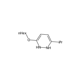 CCCCCCOC1=CC=C(C(C)C)NN1